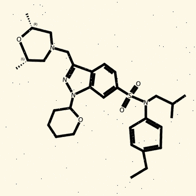 CCc1ccc(N(CC(C)C)S(=O)(=O)c2ccc3c(CN4C[C@@H](C)O[C@@H](C)C4)nn(C4CCCCO4)c3c2)cc1